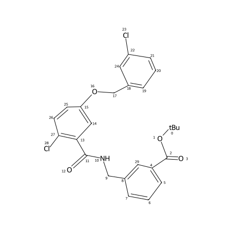 CC(C)(C)OC(=O)c1cccc(CNC(=O)c2cc(OCc3cccc(Cl)c3)ccc2Cl)c1